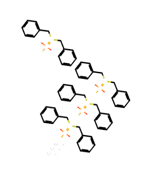 [Mo+4].[Mo+4].[Mo+4].[O-]P([O-])([S-])=S(Cc1ccccc1)Cc1ccccc1.[O-]P([O-])([S-])=S(Cc1ccccc1)Cc1ccccc1.[O-]P([O-])([S-])=S(Cc1ccccc1)Cc1ccccc1.[O-]P([O-])([S-])=S(Cc1ccccc1)Cc1ccccc1